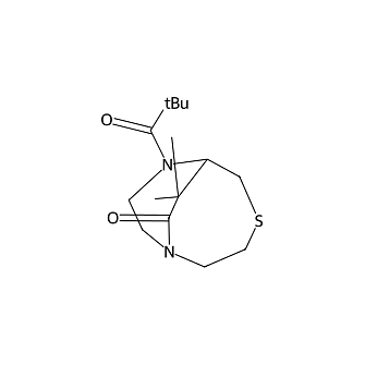 CC(C)(C)C(=O)N1CCN2CCSCC1C(C)(C)C2=O